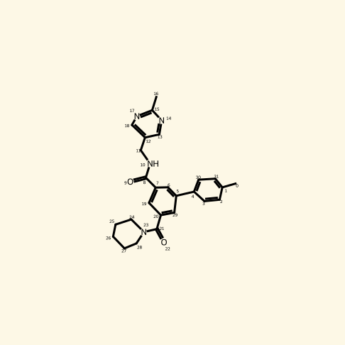 Cc1ccc(-c2cc(C(=O)NCc3cnc(C)nc3)cc(C(=O)N3CCCCC3)c2)cc1